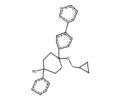 N#CC1(c2ccccc2)CCC(OCC2CC2)(c2ccc(-c3cccnc3)cc2)CC1